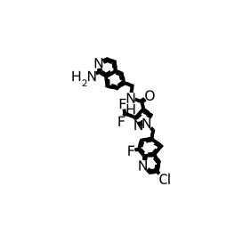 Nc1nccc2cc(CNC(=O)c3cn(Cc4cc(F)c5ncc(Cl)cc5c4)nc3C(F)F)ccc12